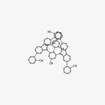 N#Cc1cc(-n2c3cc(-c4ccccc4C#N)ccc3c3ccc(-c4ccccc4C#N)cc32)c(-c2c(C#N)cccc2C(F)(F)F)c(-n2c3cc(-c4ccccc4C#N)ccc3c3ccc(-c4ccccc4C#N)cc32)c1